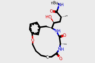 CCCCNC(=O)[C@H](C)C[C@H](O)[C@@H]1Cc2cccc(c2)OCCCCCC(=O)N[C@@H](C)C(=O)N1